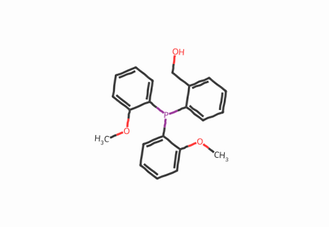 COc1ccccc1P(c1ccccc1CO)c1ccccc1OC